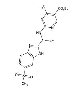 CCOC(=O)c1cnc(NC(c2nc3ccc(S(C)(=O)=O)cc3[nH]2)C(C)C)nc1C(F)(F)F